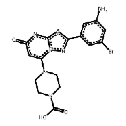 Nc1cc(Br)cc(-c2nn3c(N4CCN(C(=O)O)CC4)cc(=O)nc3s2)c1